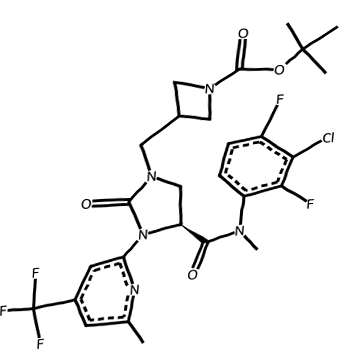 Cc1cc(C(F)(F)F)cc(N2C(=O)N(CC3CN(C(=O)OC(C)(C)C)C3)C[C@H]2C(=O)N(C)c2ccc(F)c(Cl)c2F)n1